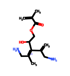 C=C(C)C(=O)OCC(O)/C(C(=C)CN)=C(/C)CN